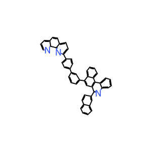 c1cc(-c2ccc(-c3ccc4ccc5cccnc5c4n3)cc2)cc(-c2cc3c(-c4ccc5ccccc5c4)nc4ccccc4c3c3ccccc23)c1